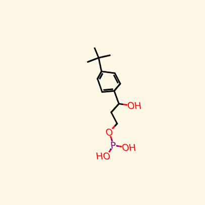 CC(C)(C)c1ccc(C(O)CCOP(O)O)cc1